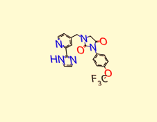 O=C1CN(Cc2ccnc(-c3ncc[nH]3)c2)C(=O)N1c1ccc(OC(F)(F)F)cc1